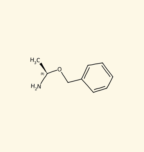 C[C@H](N)OCc1ccccc1